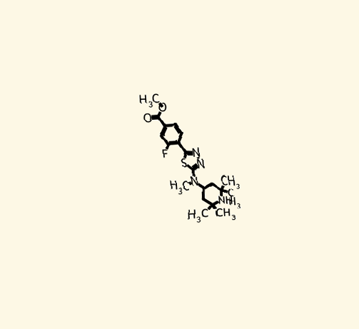 COC(=O)c1ccc(-c2nnc(N(C)C3CC(C)(C)NC(C)(C)C3)s2)c(F)c1